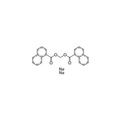 O=C(OCOC(=O)c1cccc2ccccc12)c1cccc2ccccc12.[Na].[Na]